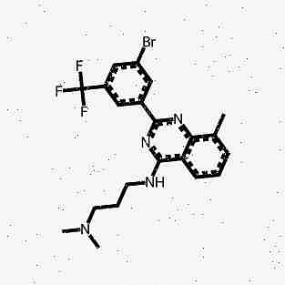 Cc1cccc2c(NCCCN(C)C)nc(-c3cc(Br)cc(C(F)(F)F)c3)nc12